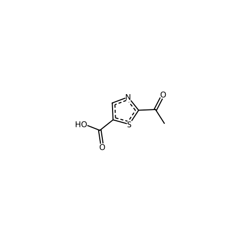 CC(=O)c1ncc(C(=O)O)s1